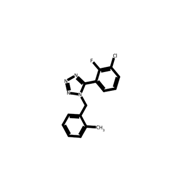 Cc1ccccc1Cn1nnnc1-c1cccc(Cl)c1F